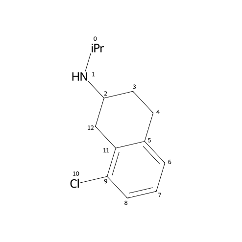 CC(C)NC1CCc2cccc(Cl)c2C1